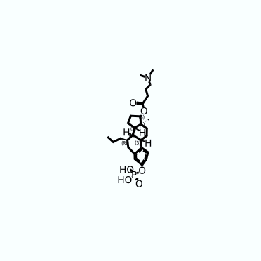 CCC[C@@H]1Cc2cc(OP(=O)(O)O)ccc2[C@H]2CC[C@]3(C)[C@@H](OC(=O)CCCN(C)C)CC[C@H]3[C@H]12